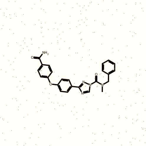 CN(Cc1ccccc1)C(=O)n1cnc(-c2ccc(Oc3ccc(C(N)=O)cc3)cc2)n1